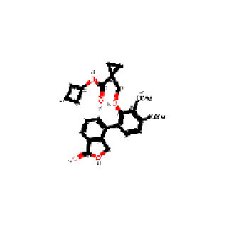 COc1ccc(-c2cccc3c2COC3=O)c(OCC2(C(=O)OC3CCC3)CC2)c1OC